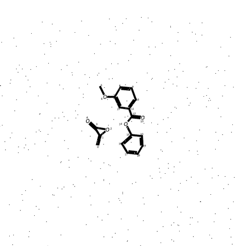 C=C1OC1=O.COc1cccc(C(=O)Oc2ccccc2)c1